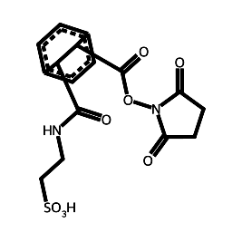 O=C(NCCS(=O)(=O)O)C1c2ccc(cc2)C1C(=O)ON1C(=O)CCC1=O